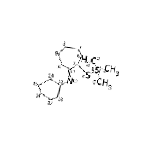 C[Si](C)(C)SC1CCCCCC1=NC1CCCCC1